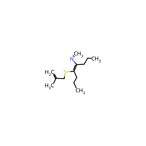 C=N/C(CCC)=C(/CCC)SCC(=C)C